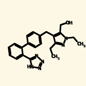 CCc1nn(CC)c(CO)c1Cc1ccc(-c2ccccc2-c2nnn[nH]2)cc1